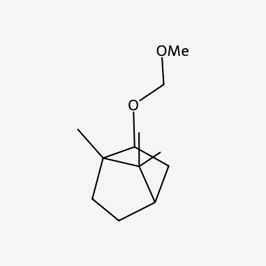 COCOC1CC2CCC1(C)C2(C)C